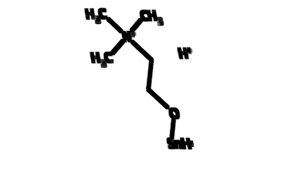 C[N+](C)(C)CC[O][SnH].[H+]